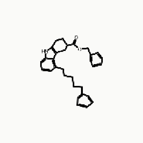 O=C(OCc1ccccc1)C1CCc2[nH]c3cccc(CCCCCc4ccccc4)c3c2C1